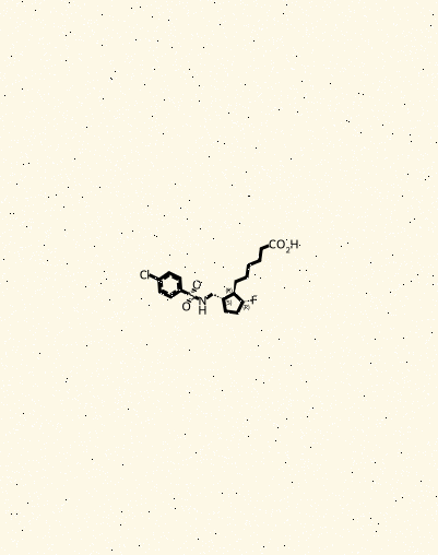 O=C(O)CCCCC[C@@H]1[C@@H](CNS(=O)(=O)c2ccc(Cl)cc2)CC[C@H]1F